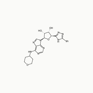 CC(C)c1nnc([C@H]2O[C@@H](n3cnc4c(NC5CCOCC5)ncnc43)[C@H](O)[C@@H]2O)[nH]1